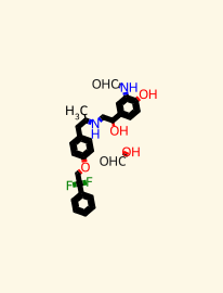 C[C@@H](Cc1ccc(OCC(F)(F)c2ccccc2)cc1)NC[C@H](O)c1ccc(O)c(NC=O)c1.O=CO